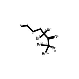 CCCCC(Br)(Br)C(=O)C(Br)(Br)Br